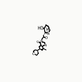 Cc1cc(C2CCOCC2)cc2c(=O)n(CC(=O)C[C@H]3NCCC[C@@H]3O)cnc12